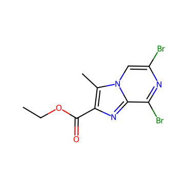 CCOC(=O)c1nc2c(Br)nc(Br)cn2c1C